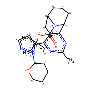 Cc1nc(-c2ccnn2C2CCCCO2)c2c(n1)C1CCCC(C2)N1C(=O)OC(C)(C)C